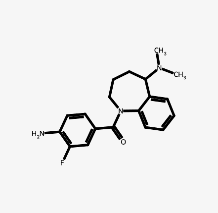 CN(C)C1CCCN(C(=O)c2ccc(N)c(F)c2)c2ccccc21